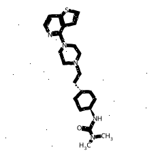 CN(C)C(=O)N[C@H]1CC[C@H](CCN2CCN(c3nccc4sccc34)CC2)CC1